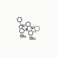 CC(C)(C)c1cc2c3c(c1)C1(C)CCCCC1(C)N3c1cccc3c1B2c1cc(C(C)(C)C)cc2cc(-c4ccccc4)n-3c12